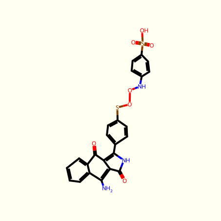 NC1=C2C(=O)NC(c3ccc(SOONc4ccc(S(=O)(=O)O)cc4)cc3)=C2C(=O)c2ccccc21